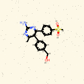 Cc1nc(N)nc(-c2ccc(S(C)(=O)=O)cc2)c1-c1ccc(CO)cc1